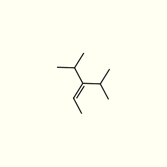 CC=C(C(C)C)C(C)C